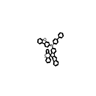 c1ccc(-c2ccc(N(c3ccc4c(c3)C3(c5ccccc5Sc5ccccc53)c3cc5ccccc5cc3-4)c3ccc4c(c3)oc3ccccc34)cc2)cc1